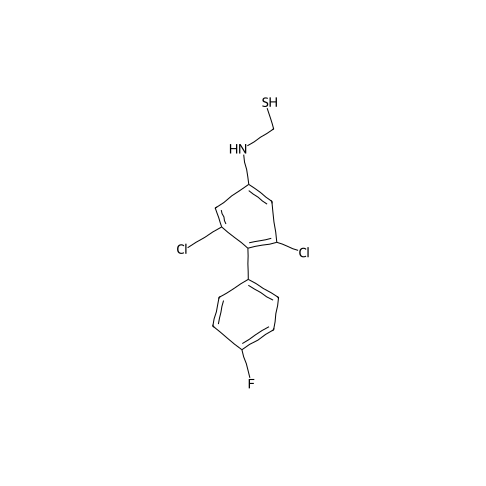 Fc1ccc(-c2c(Cl)cc(NCS)cc2Cl)cc1